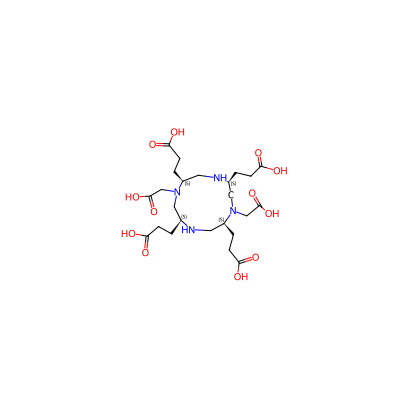 O=C(O)CC[C@H]1CN(CC(=O)O)[C@@H](CCC(=O)O)CN[C@@H](CCC(=O)O)CN(CC(=O)O)[C@@H](CCC(=O)O)CN1